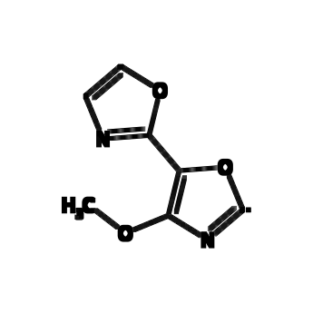 COc1n[c]oc1-c1ncco1